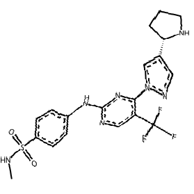 CNS(=O)(=O)c1ccc(Nc2ncc(C(F)(F)F)c(-n3cc([C@@H]4CCCN4)cn3)n2)cc1